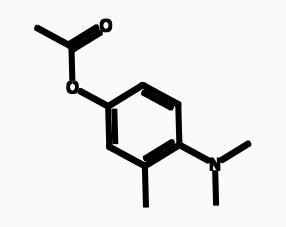 CC(=O)Oc1ccc(N(C)C)c(C)c1